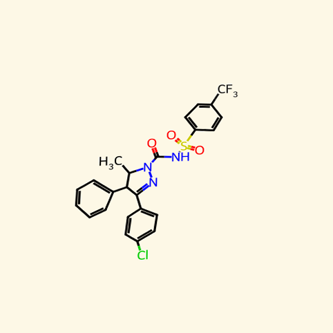 CC1C(c2ccccc2)C(c2ccc(Cl)cc2)=NN1C(=O)NS(=O)(=O)c1ccc(C(F)(F)F)cc1